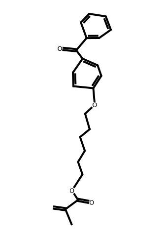 C=C(C)C(=O)OCCCCCCOc1ccc(C(=O)c2ccccc2)cc1